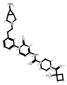 NC1C2CN(CCc3cccc(-n4ccc(NC(=O)N5CCN(C(=O)C6(N)CCC6)CC5)nc4=O)c3)CC12